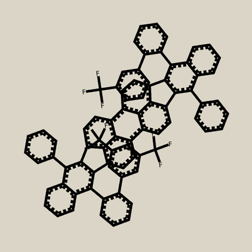 FC(F)(F)c1cccc(-c2ccccc2-c2c3c(c(-c4ccccc4)c4ccccc24)-c2ccc4c5ccc6c7c(ccc(c8ccc-3c2c84)c75)-c2c-6c(-c3ccccc3-c3cc(C(F)(F)F)cc(C(F)(F)F)c3)c3ccccc3c2-c2ccccc2)c1